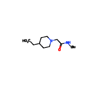 CC(C)(C)NC(=O)CN1CCC(CC(=O)O)CC1